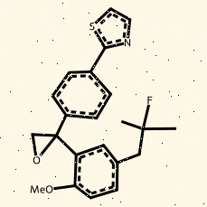 COc1ccc(CC(C)(C)F)cc1C1(c2ccc(-c3nccs3)cc2)CO1